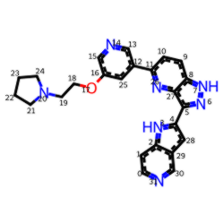 c1cc2[nH]c(-c3n[nH]c4ccc(-c5cncc(OCCN6CCCC6)c5)nc34)cc2cn1